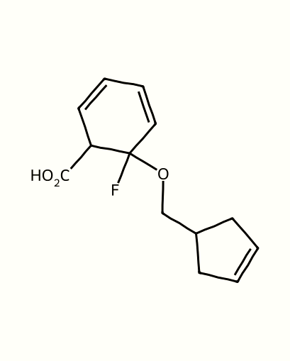 O=C(O)C1C=CC=CC1(F)OCC1CC=CC1